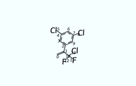 C=C(c1cc(Cl)cc(Cl)c1)C(F)(F)Cl